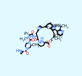 CCn1c(-c2cccnc2[C@H](C)OC)c2c3cc(ccc31)-c1csc(n1)C[C@H](NC(=O)[C@H](C(C)C)N(C)C(=O)N1CCN(C(=O)[C@@H]3CN3)C[C@H]1C)C(=O)N1CCC[C@H](N1)C(=O)OCC(C)(C)C2